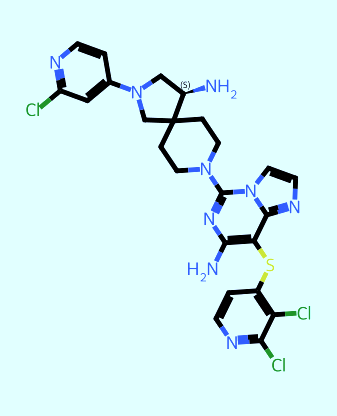 Nc1nc(N2CCC3(CC2)CN(c2ccnc(Cl)c2)C[C@H]3N)n2ccnc2c1Sc1ccnc(Cl)c1Cl